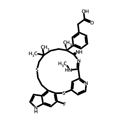 CN/C1=N\C(=N)[C@@](C)(c2cccc(CC(=O)O)c2)CCC(C)(C)CSCCc2c(c(F)cc3[nH]ccc23)Sc2ccnc1c2